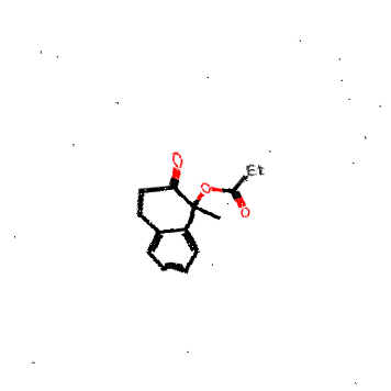 CCC(=O)OC1(C)C(=O)CCc2ccccc21